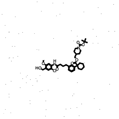 COc1cc(NC(=O)CCCc2cccc(C3(C(=O)OCC4CCN(C(=O)OC(C)(C)C)CC4)CCCCC3)c2)c(Cl)cc1CO